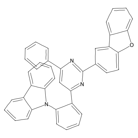 c1ccc(-c2cc(-c3ccccc3-n3c4ccccc4c4ccccc43)nc(-c3ccc4oc5ccccc5c4c3)n2)cc1